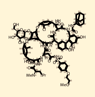 CN[C@H](CC(C)C)C(=O)N[C@H]1C(=O)N[C@@H](CC(=O)NS(=O)(=O)c2ccc(OCCOC)cc2)C(=O)N[C@H]2C(=O)N[C@H]3C(=O)N[C@H](C(=O)N[C@H](C(=O)NC4C5CC6CC(C5)CC4C6)c4cc(O)cc(O)c4-c4cc3ccc4O)[C@H](O)c3ccc(c(Cl)c3)Oc3cc2cc(c3O[C@@H]2O[C@H](CO)[C@@H](O)[C@H](O)[C@H]2O)Oc2ccc(cc2C)[C@H]1O